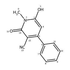 Cn1c(O)cc(-c2ccccc2)c(C#N)c1=O